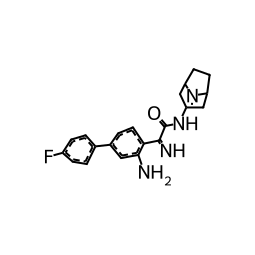 CN1C2CCC1CC(NC(=O)C(=N)c1ccc(-c3ccc(F)cc3)cc1N)C2